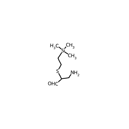 C[Si](C)(C)CCSC(C=O)CN